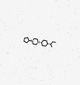 CCC(C)[C@H]1CC[C@H](N2CCN(C3CCCC3)CC2)CC1